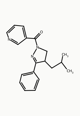 CC(C)CC1CN(C(=O)c2cccnc2)N=C1c1ccccc1